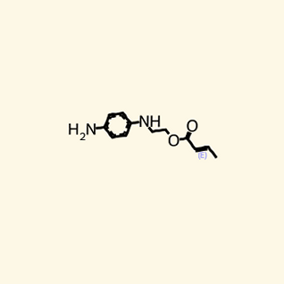 C/C=C/C(=O)OCCNc1ccc(N)cc1